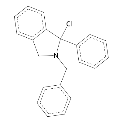 ClC1(c2ccccc2)c2ccccc2CN1Cc1ccccc1